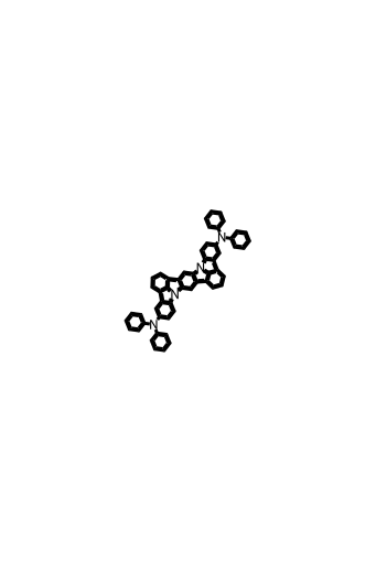 c1ccc(N(c2ccccc2)c2ccc3c(c2)c2cccc4c5cc6c(cc5n3c24)c2cccc3c4cc(N(c5ccccc5)c5ccccc5)ccc4n6c32)cc1